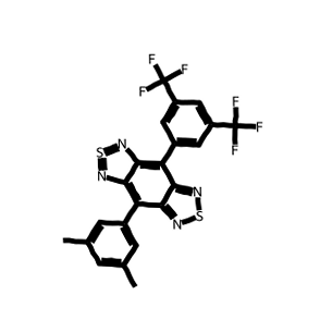 Cc1cc(C)cc(-c2c3c(c(-c4cc(C(F)(F)F)cc(C(F)(F)F)c4)c4nsnc24)N=S=N3)c1